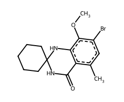 COc1c(Br)cc(C)c2c1NC1(CCCCC1)NC2=O